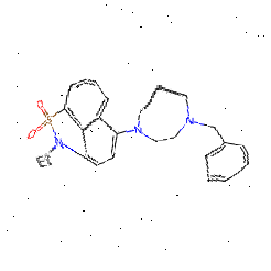 CCN1c2ccc(N3CCCN(Cc4ccccc4)CC3)c3cccc(c23)S1(=O)=O